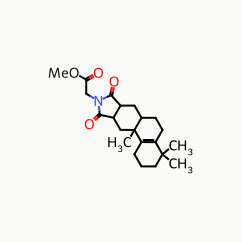 COC(=O)CN1C(=O)C2CC3CCC4=C(CCCC4(C)C)C3(C)CC2C1=O